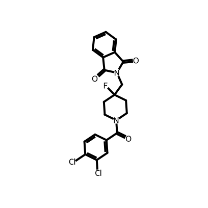 O=C(c1ccc(Cl)c(Cl)c1)N1CCC(F)(CN2C(=O)c3ccccc3C2=O)CC1